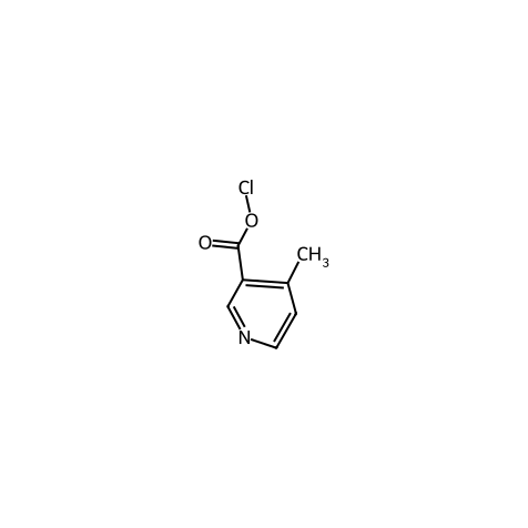 Cc1ccncc1C(=O)OCl